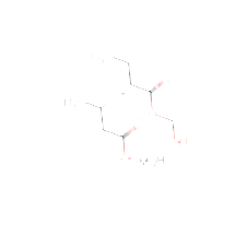 CC(O)CC(=O)O.CCCC(=O)OCO.[MgH2]